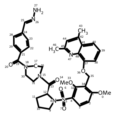 COc1ccc(S(=O)(=O)N2CCC[C@H]2C(=O)N2CCN(C(=O)c3ccc(C=NN)cc3)CC2)c(OC)c1COc1cccc2c(C)cc(C)nc12